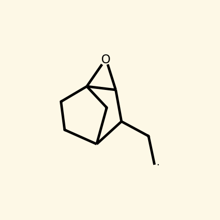 [CH2]CC1C2CCC3(C2)OC13